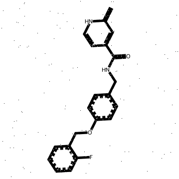 C=C1C=C(C(=O)NCc2ccc(OCc3ccccc3F)cc2)C=CN1